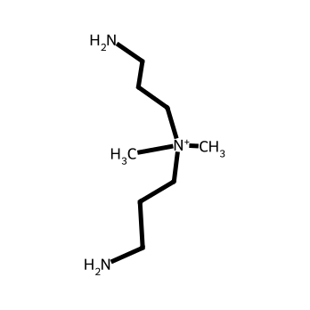 C[N+](C)(CCCN)CCCN